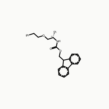 CC[C@@H](COCCC(C)C)NC(=O)OCC1c2ccccc2-c2ccccc21